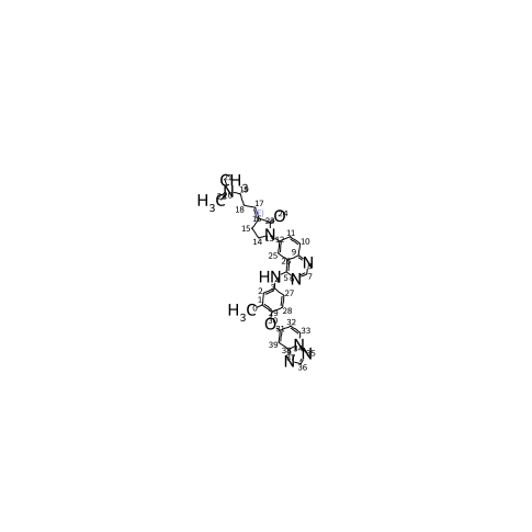 Cc1cc(Nc2ncnc3ccc(N4CC/C(=C\CCN(C)C)C4=O)cc23)ccc1Oc1ccn2ncnc2c1